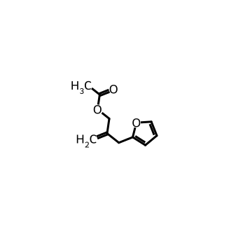 C=C(COC(C)=O)Cc1ccco1